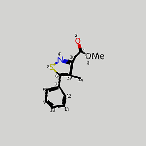 COC(=O)c1nsc(-c2ccccc2)c1C